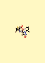 Cc1cccnc1-n1nc(Br)cc1-c1nc2c(C)csc2c(=O)o1